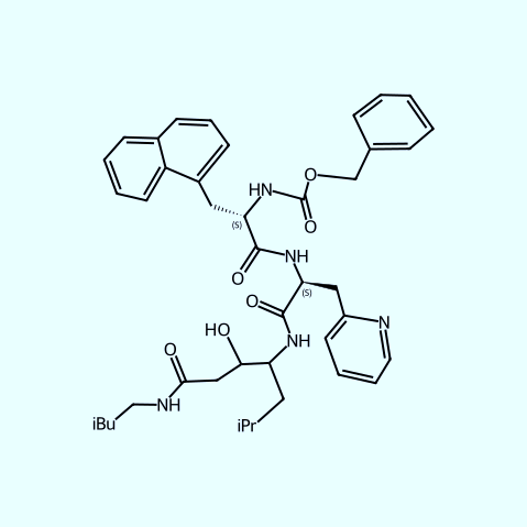 CCC(C)CNC(=O)CC(O)C(CC(C)C)NC(=O)[C@H](Cc1ccccn1)NC(=O)[C@H](Cc1cccc2ccccc12)NC(=O)OCc1ccccc1